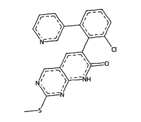 CSc1ncc2cc(-c3c(Cl)cccc3-c3cccnc3)c(=O)[nH]c2n1